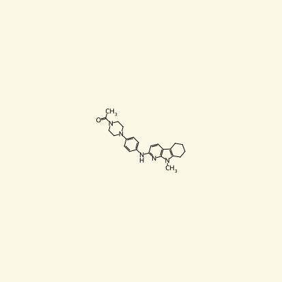 CC(=O)N1CCN(c2ccc(Nc3ccc4c5c(n(C)c4n3)CCCC5)cc2)CC1